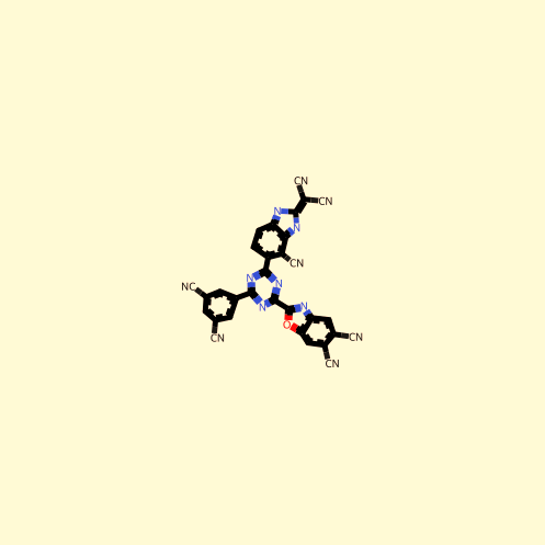 N#CC(C#N)=C1N=c2ccc(-c3nc(-c4cc(C#N)cc(C#N)c4)nc(-c4nc5cc(C#N)c(C#N)cc5o4)n3)c(C#N)c2=N1